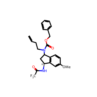 C=CCCN(C(=O)OCc1ccccc1)C1C[C@H](NC(=O)C(F)(F)F)c2cc(OC)ccc21